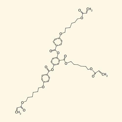 C=CC(=O)OCCCCCCOC(=O)c1cc(OC(=O)c2ccc(OCCCCCCOC(=O)C=C)cc2)ccc1OC(=O)c1ccc(OCCCCCCOC(=O)C=C)cc1